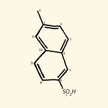 Cc1ccc2cc(S(=O)(=O)O)ccc2c1